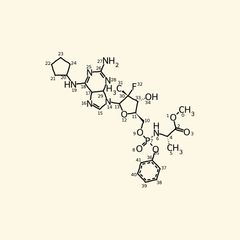 COC(=O)[C@H](C)N[P@](=O)(OC[C@H]1OC(N2C=NC3C(NC4CCCC4)=NC(N)=NC32)[C@](C)(F)[C@@H]1O)Oc1ccccc1